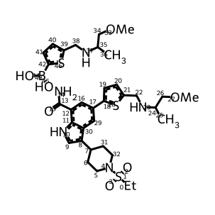 CCS(=O)(=O)N1CCC(c2c[nH]c3c(C(N)=O)cc(-c4ccc(CNC(C)COC)s4)cc23)CC1.COCC(C)NCc1ccc(B(O)O)s1